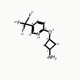 NC1CC(Oc2ccc(C(F)(F)F)cn2)C1